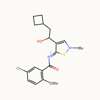 COc1ccc(Cl)cc1C(=O)/N=c1\sn(C(C)(C)C)cc1C(O)CC1CCC1